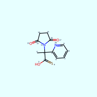 CC(C(O)=S)(c1ccccn1)N1C(=O)CCC1=O